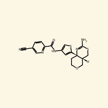 N#Cc1ccc(C(=O)Nc2csc([C@]34CCOC[C@H]3CSC(N)=N4)c2)nc1